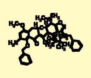 COc1cc(N)c(OCc2ccccc2)c2c1C[C@H]1C[C@H]3[C@H](N(C)C)c4onc(OCc5ccccc5)c4C(=O)[C@@]3(O[Si](C)(C)C(C)(C)C)C(O)=C1C2=O